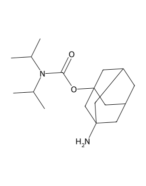 CC(C)N(C(=O)OC12CC3CC(CC(N)(C3)C1)C2)C(C)C